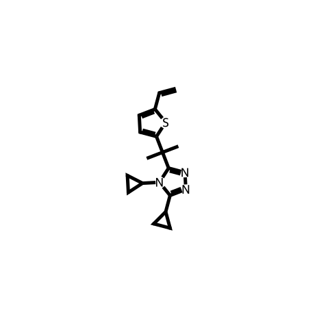 C=Cc1ccc(C(C)(C)c2nnc(C3CC3)n2C2CC2)s1